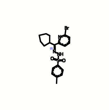 Cc1ccc(S(=O)(=O)N/N=C(\c2cccc(Br)n2)C2CCCCC2)cc1